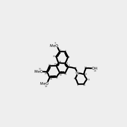 COc1ccc2c(CN3CCCCC3CO)cc3cc(OC)c(OC)cc3c2c1